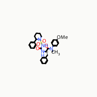 COc1ccc(N(C)C(=O)[C@H](Cc2ccccc2)NC(=O)NS(=O)(=O)N2CCCCC2c2ccccc2)cc1